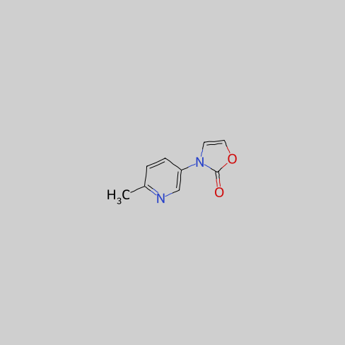 Cc1ccc(-n2ccoc2=O)cn1